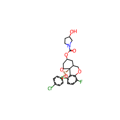 O=C(O[C@@H]1CC[C@@]2(S(=O)(=O)c3ccc(Cl)cc3)c3c(F)ccc(F)c3OCC2C1)N1CC[C@@H](O)C1